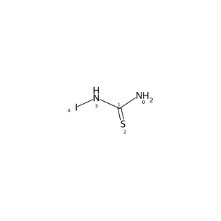 NC(=S)NI